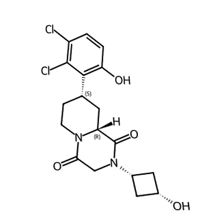 O=C1CN([C@H]2C[C@@H](O)C2)C(=O)[C@H]2C[C@@H](c3c(O)ccc(Cl)c3Cl)CCN12